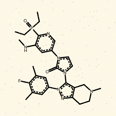 CCP(=O)(CC)c1ncc(-n2ccn(-c3c4c(nn3-c3cc(C)c(F)c(C)c3)CCN(C)C4)c2=O)cc1NC